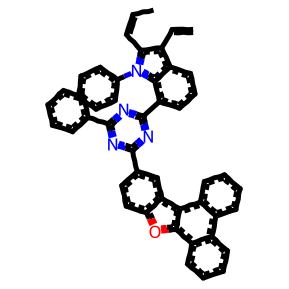 C=Cc1c(/C=C\C)n(-c2ccccc2)c2c(-c3nc(-c4ccccc4)nc(-c4ccc5oc6c7ccccc7c7ccccc7c6c5c4)n3)cccc12